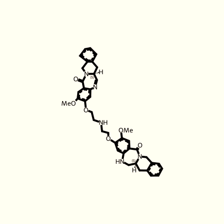 COc1cc2c(cc1OCCNCCOc1cc3c(cc1OC)C(=O)N1Cc4ccccc4C[C@H]1CN3)N=C[C@@H]1Cc3ccccc3CN1C2=O